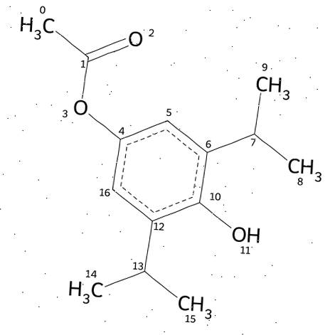 CC(=O)Oc1cc(C(C)C)c(O)c(C(C)C)c1